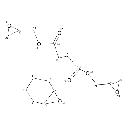 C1CCC2OC2C1.O=C(CCC(=O)OCC1CO1)OCC1CO1